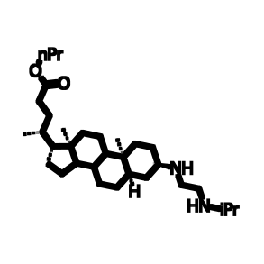 CCCOC(=O)CC[C@@H](C)[C@H]1CCC2C3CC[C@@H]4C[C@H](NCCNC(C)C)CC[C@]4(C)C3CC[C@@]21C